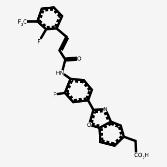 O=C(O)Cc1ccc2oc(-c3ccc(NC(=O)C=Cc4cccc(C(F)(F)F)c4F)c(F)c3)nc2c1